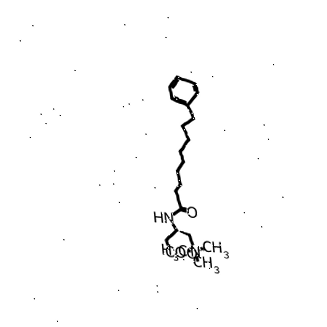 C[N+](C)(C)C[C@@H](CC(=O)[O-])NC(=O)CCCCCCCCc1ccccc1